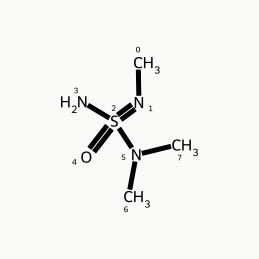 CN=S(N)(=O)N(C)C